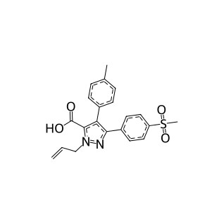 C=CCn1nc(-c2ccc(S(C)(=O)=O)cc2)c(-c2ccc(C)cc2)c1C(=O)O